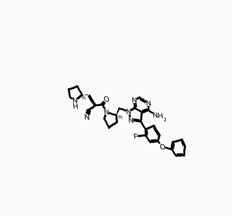 N#CC(=C[C@H]1CCCN1)C(=O)N1CCC[C@@H]1Cn1nc(-c2ccc(Oc3ccccc3)cc2F)c2c(N)ncnc21